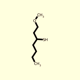 CCCCC(S)CCOC